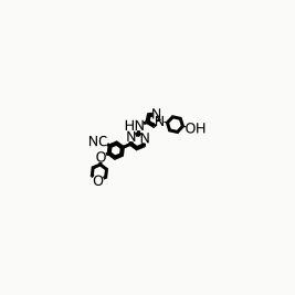 N#Cc1cc(-c2ccnc(Nc3cnn([C@H]4CC[C@@H](O)CC4)c3)n2)ccc1OC1CCOCC1